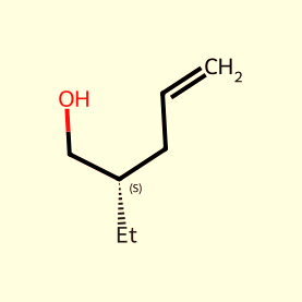 C=CC[C@H](CC)CO